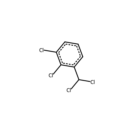 Clc1cccc(C(Cl)Cl)c1Cl